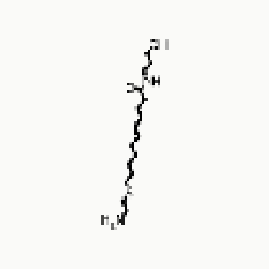 NCCSCCCCCCCCCCC(=O)NCCCO